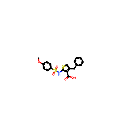 COc1ccc(S(=O)(=O)Nc2scc(Cc3ccccc3)c2C(=O)O)cc1